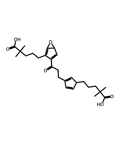 CC(C)(CCCC1=C2OC2C=C1C(=O)CCC1=CC(CCCC(C)(C)C(=O)O)C=C1)C(=O)O